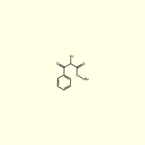 CCCCOC(=O)C(C(C)=O)C(=O)c1ccccc1